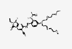 CCOCCOCCN(CCOCCOC)c1ccc(N=Nc2cc3c(cc2C#N)C(=O)N(CC)C3=O)c(NC(C)=O)c1